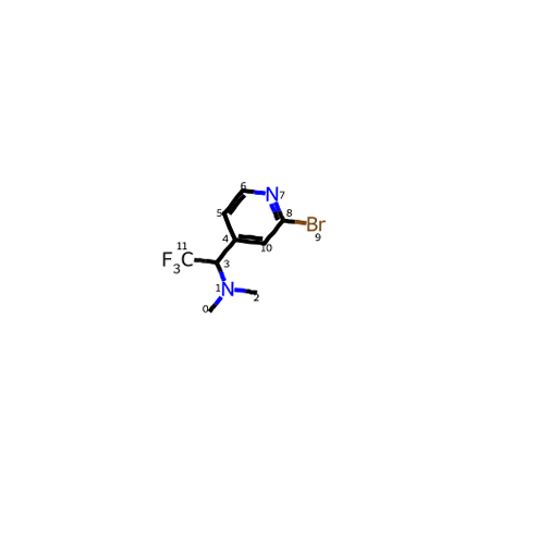 CN(C)C(c1ccnc(Br)c1)C(F)(F)F